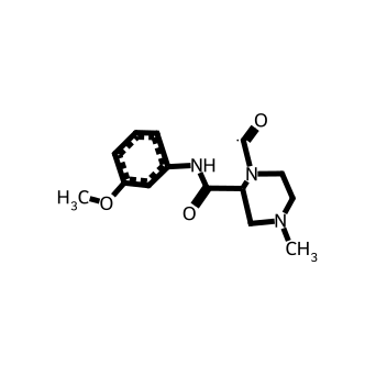 COc1cccc(NC(=O)C2CN(C)CCN2[C]=O)c1